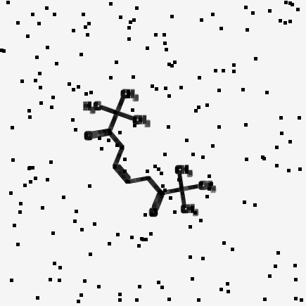 CC(C)(C)C(=O)C/C=C\CC(=O)C(C)(C)C